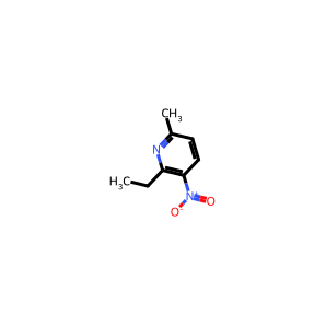 CCc1nc(C)ccc1[N+](=O)[O-]